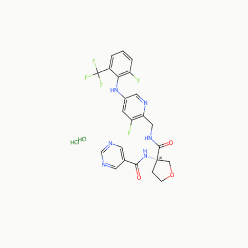 Cl.Cl.O=C(N[C@@]1(C(=O)NCc2ncc(Nc3c(F)cccc3C(F)(F)F)cc2F)CCOC1)c1cncnc1